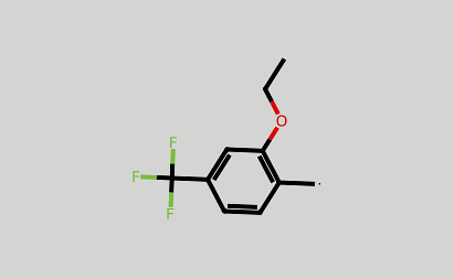 [CH2]c1ccc(C(F)(F)F)cc1OCC